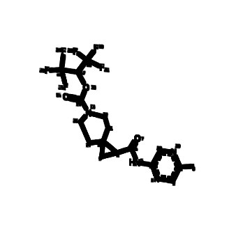 Cc1cnc(NC(=O)C2CC23CCN(C(=O)OC(C(F)(F)F)C(F)(F)F)CC3)cn1